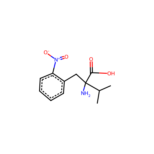 CC(C)C(N)(Cc1ccccc1[N+](=O)[O-])C(=O)O